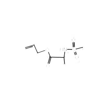 C=CCOC(=O)C(C)NS(C)(=O)=O